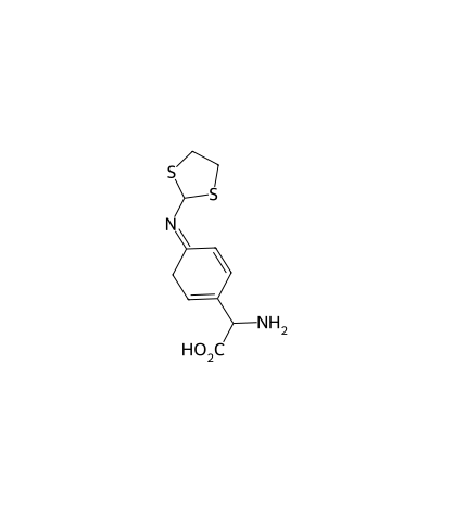 NC(C(=O)O)C1=CCC(=NC2SCCS2)C=C1